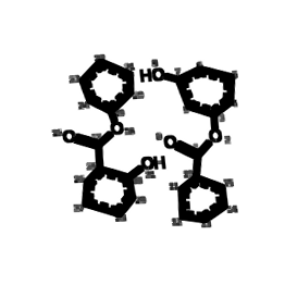 O=C(Oc1cccc(O)c1)c1ccccc1.O=C(Oc1ccccc1)c1ccccc1O